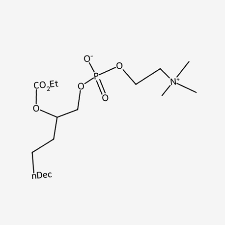 CCCCCCCCCCCCC(COP(=O)([O-])OCC[N+](C)(C)C)OC(=O)OCC